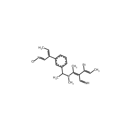 C/C=C(\C=NCl)c1cccc(C(C)N(C)/C(C)=C(C=N)/C(=C/C)CC)c1